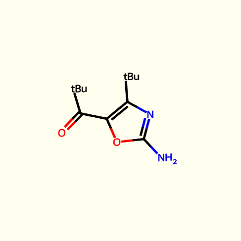 CC(C)(C)C(=O)c1oc(N)nc1C(C)(C)C